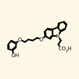 O=C(O)CCn1c2ccccc2c2ccc(OCCCCOc3cccc(O)c3)cc21